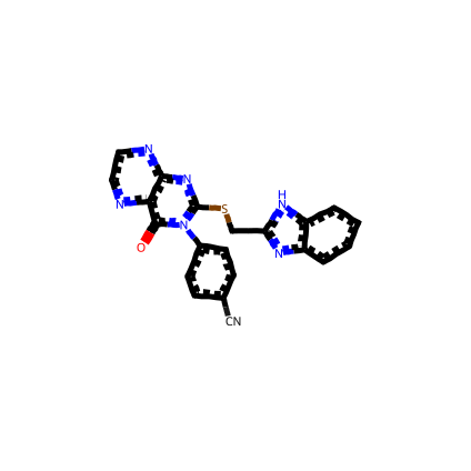 N#Cc1ccc(-n2c(SCc3nc4ccccc4[nH]3)nc3nccnc3c2=O)cc1